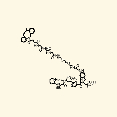 CCCCCCN(C(=O)[C@@H](NCC1CCCCN1C)[C@@H](C)CC)[C@H](C[C@@H](OC(C)=O)c1nc(C(=O)N[C@@H](Cc2ccc(NCC(=O)NCCOCCOCCNC(=O)CNC(=O)CNC(=O)CNC(=O)CCC(=O)N3Cc4ccccc4C(C)/C=C\c4ccccc43)cc2)CC(C)(C)C(=O)O)cs1)C(C)C